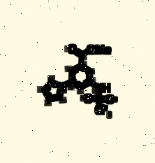 COC(=O)c1cc(NS(=O)(=O)C(F)(F)F)cc(-n2cccc2)c1